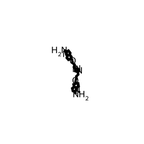 Nc1ccc2cc(OCCCc3cn(CCCOc4ccc5nc(N)ccc5c4)nn3)ccc2n1